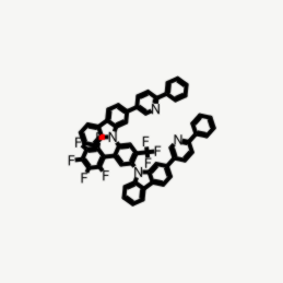 Fc1c(F)c(F)c(-c2cc(-n3c4ccccc4c4ccc(-c5ccc(-c6ccccc6)nc5)cc43)c(C(F)(F)F)cc2-n2c3ccccc3c3ccc(-c4ccc(-c5ccccc5)nc4)cc32)c(F)c1F